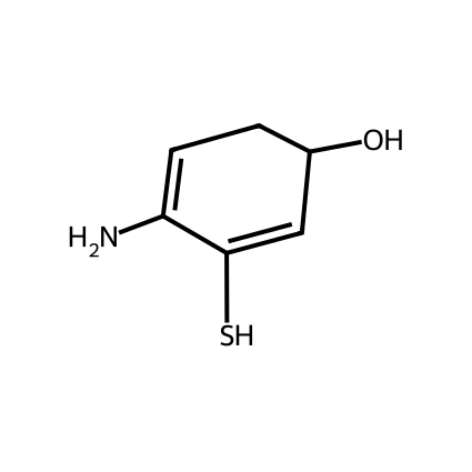 NC1=CCC(O)C=C1S